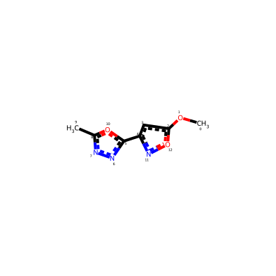 COc1cc(-c2nnc(C)o2)no1